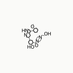 COc1ccccc1-c1c[nH]c2ncc(-c3ccc(O)c(C(=O)N4CCN(CCO)CC4)c3)cc12